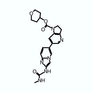 CNC(=O)Nc1cn2cc(-c3cnc4c(c3)N(C(=O)OC3CCOCC3)CC4)ccc2n1